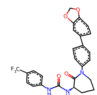 O=C(Nc1ccc(C(F)(F)F)cc1)N[C@@H]1CCCN(c2ccc(-c3ccc4c(c3)OCO4)cc2)C1=O